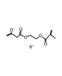 C=C([O-])CC(=O)OCCOC(=O)C(=C)C.[K+]